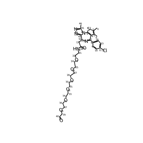 Cc1sc2c(c1C)C(c1ccc(Cl)cc1)=N[C@@H](CC(=O)NCCOCCOCCOCCOCCOCCOCC=O)c1nnc(C)n1-2